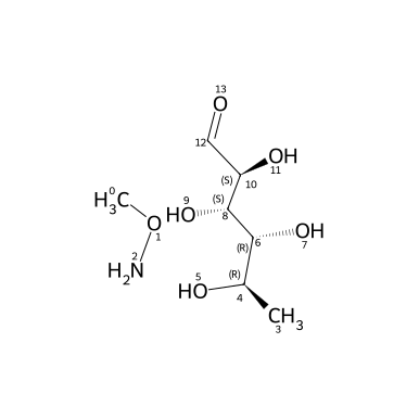 CON.C[C@@H](O)[C@@H](O)[C@H](O)[C@H](O)C=O